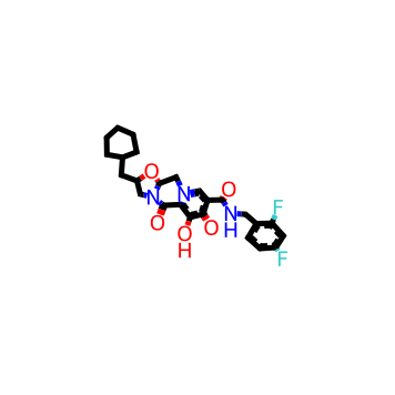 O=C(NCc1ccc(F)cc1F)c1cn2c(c(O)c1=O)C(=O)N1CC(CC3CCCCC3)OC1C2